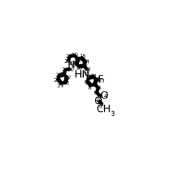 CCOC(=O)CCc1ccc(NCc2ccc3c(c2)N(CCc2ccccc2)CCC3)cc1F